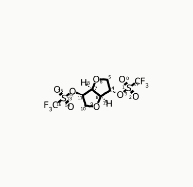 O=S(=O)(O[C@H]1CO[C@H]2[C@@H]1OC[C@H]2OS(=O)(=O)C(F)(F)F)C(F)(F)F